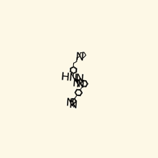 Cn1cc(-c2ccc(-c3cccc4nc(Nc5ccc(CCCN6CCCC6)cc5)nn34)cc2)cn1